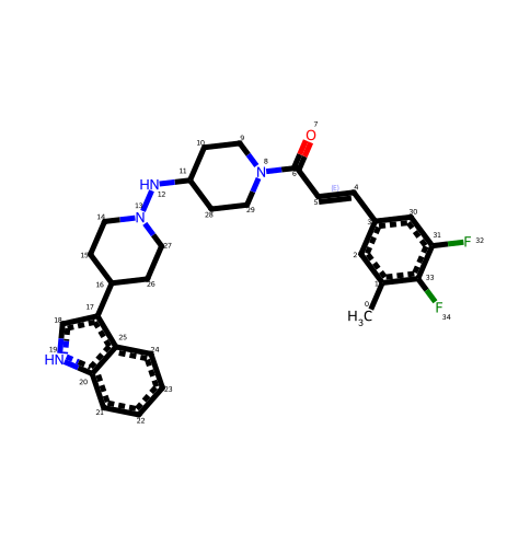 Cc1cc(/C=C/C(=O)N2CCC(NN3CCC(c4c[nH]c5ccccc45)CC3)CC2)cc(F)c1F